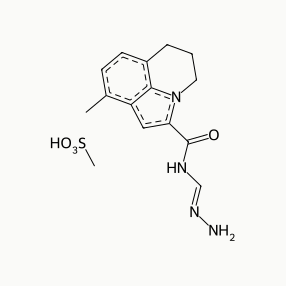 CS(=O)(=O)O.Cc1ccc2c3c1cc(C(=O)NC=NN)n3CCC2